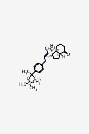 C/C(=C/Cc1ccc(C(C)(C)O[Si](C)(C)C)cc1)[C@H]1CC[C@H]2C(=O)CCC[C@]12C